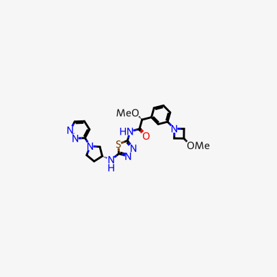 COC1CN(c2cccc([C@@H](OC)C(=O)Nc3nnc(N[C@@H]4CCN(c5cccnn5)C4)s3)c2)C1